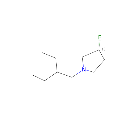 CCC(CC)CN1CC[C@@H](F)C1